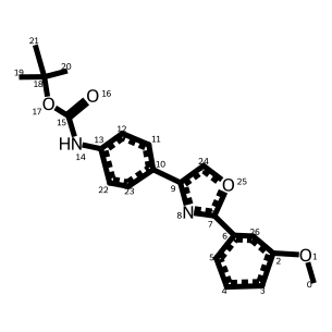 COc1cccc(-c2nc(-c3ccc(NC(=O)OC(C)(C)C)cc3)co2)c1